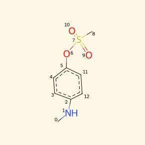 CNc1ccc(OS(C)(=O)=O)cc1